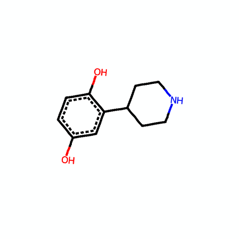 Oc1ccc(O)c(C2CCNCC2)c1